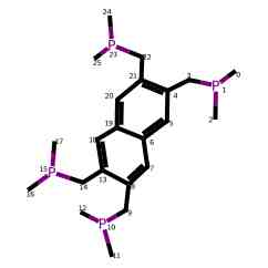 CP(C)Cc1cc2cc(CP(C)C)c(CP(C)C)cc2cc1CP(C)C